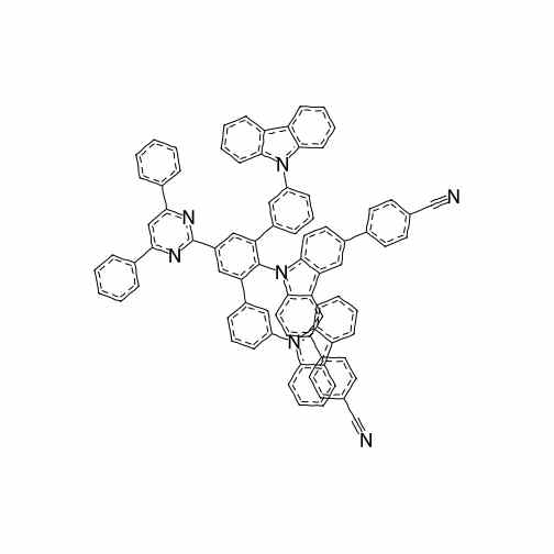 N#Cc1ccc(-c2ccc3c(c2)c2cc(-c4ccc(C#N)cc4)ccc2n3-c2c(-c3cccc(-n4c5ccccc5c5ccccc54)c3)cc(-c3nc(-c4ccccc4)cc(-c4ccccc4)n3)cc2-c2cccc(-n3c4ccccc4c4ccccc43)c2)cc1